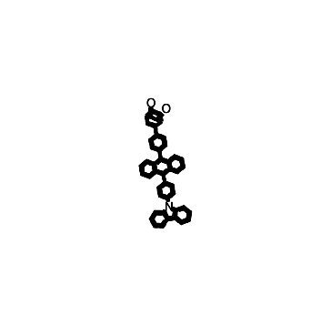 O=C1C(=O)C2C=CC1C=C2c1ccc(-c2c3ccccc3c(-c3ccc(-n4c5ccccc5c5ccccc54)cc3)c3ccccc23)cc1